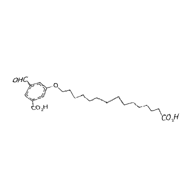 O=Cc1cc(OCCCCCCCCCCCCCCC(=O)O)cc(C(=O)O)c1